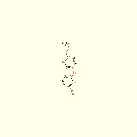 CCCc1ccc(Oc2cccc(F)c2)cc1